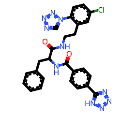 O=C(NC(Cc1ccccc1)C(=O)NCCc1cc(Cl)ccc1-n1cnnn1)c1ccc(-c2nnn[nH]2)cc1